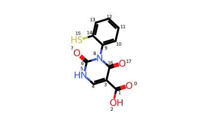 O=C(O)c1c[nH]c(=O)n(-c2ccccc2S)c1=O